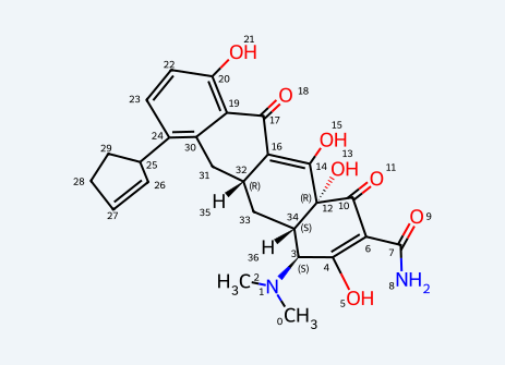 CN(C)[C@@H]1C(O)=C(C(N)=O)C(=O)[C@]2(O)C(O)=C3C(=O)c4c(O)ccc(C5C=CCC5)c4C[C@H]3C[C@@H]12